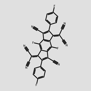 N#CC(C#N)=C1C(c2ccc(F)cc2)=C(C#N)c2c(F)c3c(c(F)c21)C(C#N)=C(c1ccc(F)cc1)C3=C(C#N)C#N